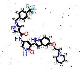 O=C(Nc1c[nH]c(=O)c(-c2cc3cc(OCCN4CCCCC4)ccc3[nH]2)c1)c1cnn(Cc2ccc(C(F)(F)F)cc2)c1